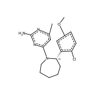 COc1ccc(Cl)c([C@@H]2CCCCCN2c2cc(C)nc(N)n2)c1